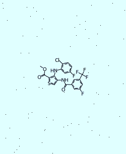 COC(=O)c1scc(NC(=O)c2cc(F)cc(C(F)(F)F)c2)c1Nc1cc(F)ccc1Cl